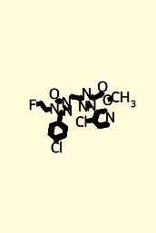 COC(=O)c1nc(Cn2nc(-c3ccc(Cl)cc3)n(CCF)c2=O)nn1-c1cnccc1Cl